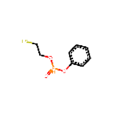 O=[PH](OCCS)Oc1ccccc1